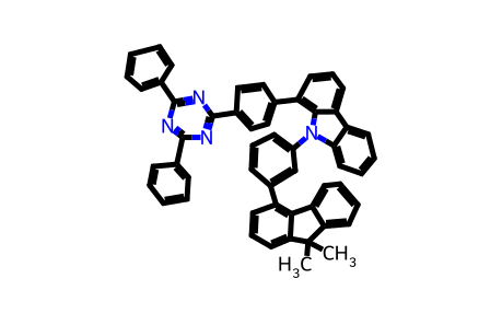 CC1(C)c2ccccc2-c2c(-c3cccc(-n4c5ccccc5c5cccc(-c6ccc(-c7nc(-c8ccccc8)nc(-c8ccccc8)n7)cc6)c54)c3)cccc21